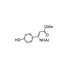 COC(=O)C=C(NC(C)=O)c1ccc(O)cc1